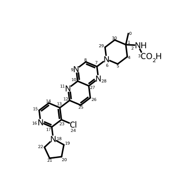 CC1(NC(=O)O)CCN(c2cnc3nc(-c4ccnc(N5CCCC5)c4Cl)ccc3n2)CC1